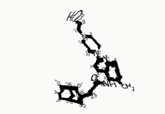 Cc1ccc2nc(N3CCN(CCO)CC3)ccc2c1NC(=O)CC1CC2CCCC(C2)C1